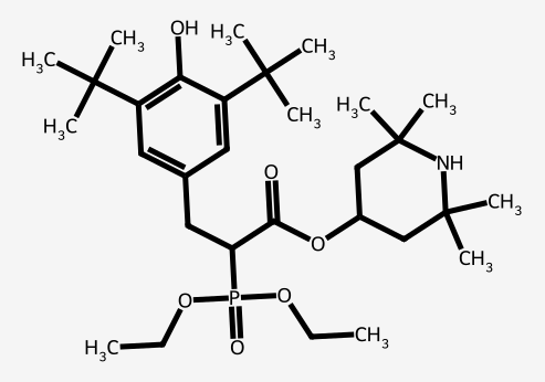 CCOP(=O)(OCC)C(Cc1cc(C(C)(C)C)c(O)c(C(C)(C)C)c1)C(=O)OC1CC(C)(C)NC(C)(C)C1